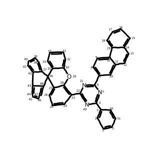 c1ccc(-c2nc(-c3ccc4c(ccc5ccccc54)c3)nc(-c3cccc4c3Oc3ccccc3C43c4ccccc4-c4ccccc43)n2)cc1